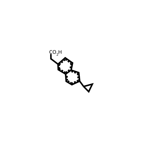 O=C(O)Cc1ccc2cc(C3CC3)ccc2c1